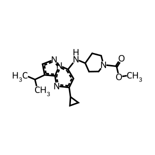 COC(=O)N1CCC(Nc2cc(C3CC3)nc3c(C(C)C)cnn23)CC1